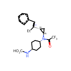 CC/C(=C\c1ccccc1)[C@@H]1C[C@H]1N(C(=O)C(F)(F)F)[C@H]1CC[C@H](NC(=O)O)CC1